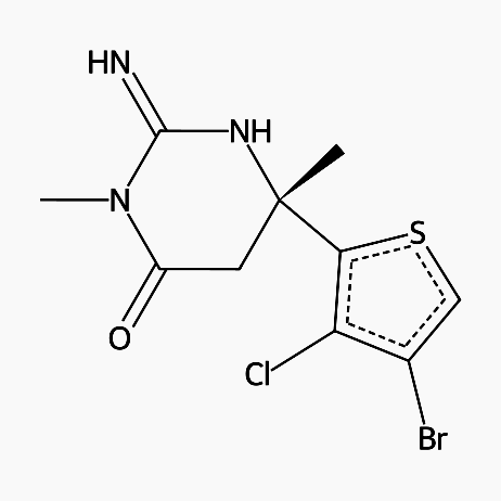 CN1C(=N)N[C@](C)(c2scc(Br)c2Cl)CC1=O